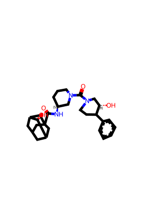 O=C(N1CCC[C@H](NC(=O)C23CC4CC(C2)C(O)C(C4)C3)C1)N1CCC(c2ccccc2)[C@@H](O)C1